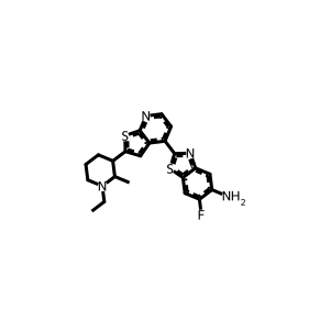 CCN1CCCC(c2cc3c(-c4nc5cc(N)c(F)cc5s4)ccnc3s2)C1C